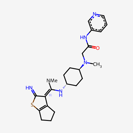 CN/C(N[C@H]1CC[C@H](N(C)CC(=O)Nc2cccnc2)CC1)=C1\C(=N)SC2=C1CCC2